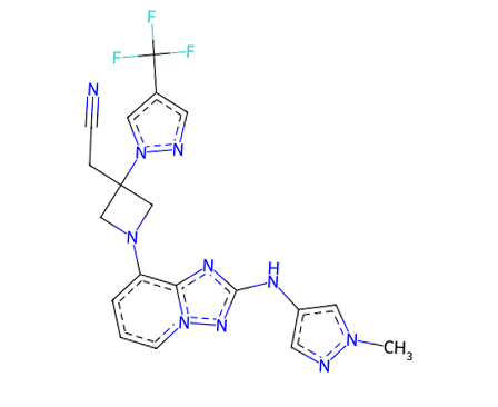 Cn1cc(Nc2nc3c(N4CC(CC#N)(n5cc(C(F)(F)F)cn5)C4)cccn3n2)cn1